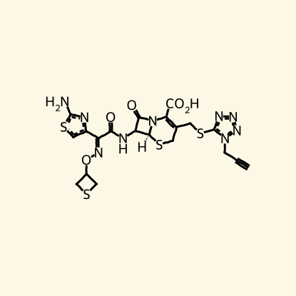 C#CCn1nnnc1SCC1=C(C(=O)O)N2C(=O)C(NC(=O)C(=NOC3CSC3)c3csc(N)n3)[C@@H]2SC1